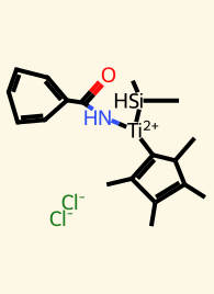 CC1=C(C)C(C)[C]([Ti+2]([NH]C(=O)c2ccccc2)[SiH](C)C)=C1C.[Cl-].[Cl-]